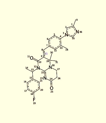 Cc1cn(-c2ccc(/C=C3/C(=O)N(C(C)c4ccc(F)cc4)C4=NC(=O)CCN4C3(C)C)cc2C)cn1